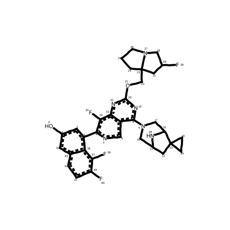 Oc1cc(-c2ncc3c(N4CC5CC6(CC6)C(C4)N5)nc(OCC45CCCN4CC(F)C5)nc3c2F)c2c(F)c(F)ccc2c1